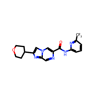 O=C(Nc1cccc(C(F)(F)F)n1)c1cn2cc(C3CCOCC3)nc2cn1